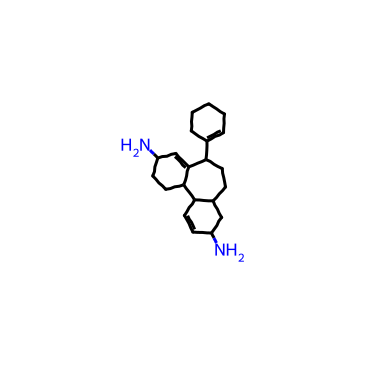 NC1C=C2C(C3=CCCCC3)CCC3CC(N)C=CC3C2CC1